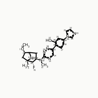 CO[C@@H]1C[C@]2(C)NC1C[C@@H](N(C)c1ncc(-c3ccc(-n4ccnc4)cc3O)nn1)[C@@H]2F